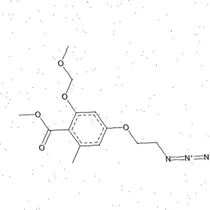 COCOc1cc(OCCN=[N+]=[N-])cc(C)c1C(=O)OC